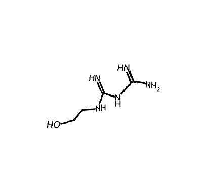 N=C(N)NC(=N)NCCO